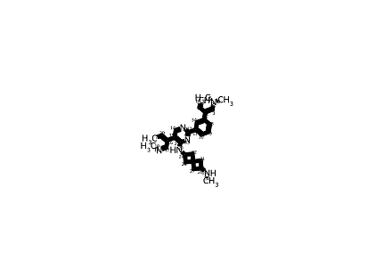 C=C/C(=C\N(C)C)c1cccc(-c2ncc(C(/C=N\C)=C/C)c(NC3CC4(CC(NC)C4)C3)n2)c1